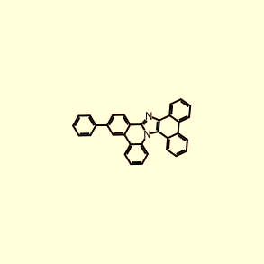 c1ccc(-c2ccc3c(c2)c2ccccc2n2c3nc3c4ccccc4c4ccccc4c32)cc1